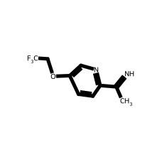 CC(=N)c1ccc(OCC(F)(F)F)cn1